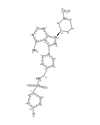 Nc1ncnc2c1c(-c1ccc(CNS(=O)(=O)c3ccc(Cl)cc3)cc1)nn2[C@@H]1CCCN(C(=O)O)C1